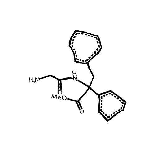 COC(=O)C(Cc1ccccc1)(NC(=O)CN)c1ccccc1